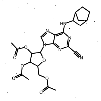 CC(=O)OCC1OC(n2cnc3c(NC4CC5CCC4C5)nc(C#N)nc32)C(OC(C)=O)C1OC(C)=O